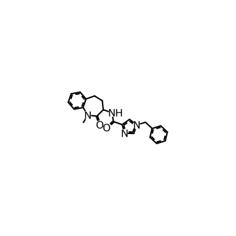 CN1C(=O)C(NC(=O)c2cn(Cc3ccccc3)cn2)CCc2ccccc21